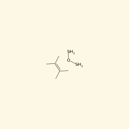 CC(C)=C(C)C.[SiH3]O[SiH3]